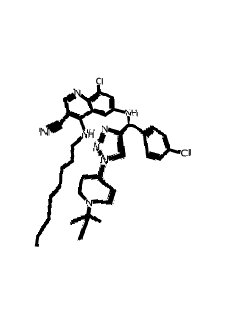 CCCCCCCCNc1c(C#N)cnc2c(Cl)cc(N[C@@H](c3ccc(Cl)cc3)c3cn(C4CCN(C(C)(C)C)CC4)nn3)cc12